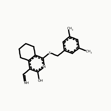 Cc1cc(C)cc(CSc2nc(O)c(C=N)c3c2CCCC3)c1